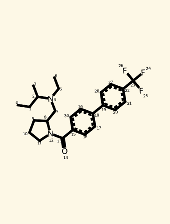 CCC(C)N(CC)CC1CCCN1C(=O)c1ccc(-c2ccc(C(F)(F)F)cc2)cc1